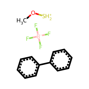 CO[SH2+].F[B-](F)(F)F.c1ccc(-c2ccccc2)cc1